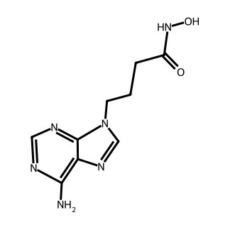 Nc1ncnc2c1ncn2CCCC(=O)NO